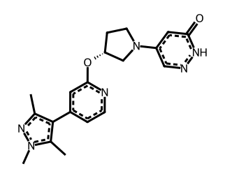 Cc1nn(C)c(C)c1-c1ccnc(O[C@@H]2CCN(c3cn[nH]c(=O)c3)C2)c1